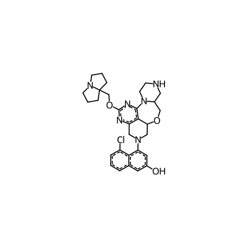 Oc1cc(N2Cc3nc(OCC45CCCN4CCC5)nc4c3C(C2)OCC2CNCCN42)c2c(Cl)cccc2c1